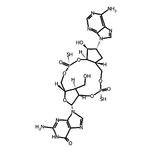 Nc1nc2c(ncn2[C@@H]2O[C@@H]3CO[P@](=O)(S)O[C@@H]4[C@@H](CO[P@](=O)(S)O[C@@H]2[C@@H]3CO)C[C@@H](n2cnc3c(N)ncnc32)[C@@H]4O)c(=O)[nH]1